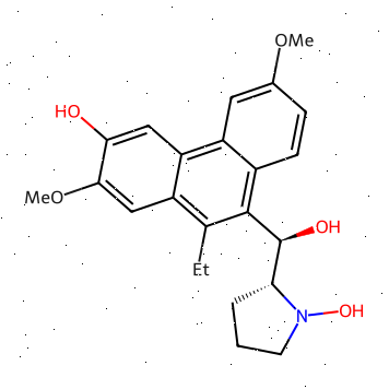 CCc1c([C@@H](O)[C@H]2CCCN2O)c2ccc(OC)cc2c2cc(O)c(OC)cc12